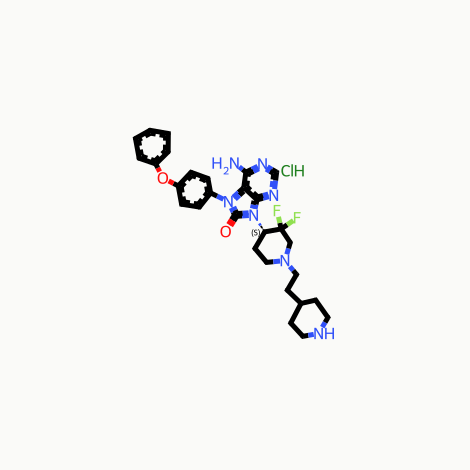 Cl.Nc1ncnc2c1n(-c1ccc(Oc3ccccc3)cc1)c(=O)n2[C@H]1CCN(CCC2CCNCC2)CC1(F)F